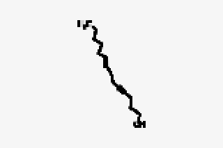 CCCCCC=CCCC#CCCCO